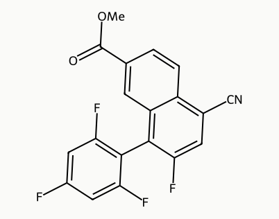 COC(=O)c1ccc2c(C#N)cc(F)c(-c3c(F)cc(F)cc3F)c2c1